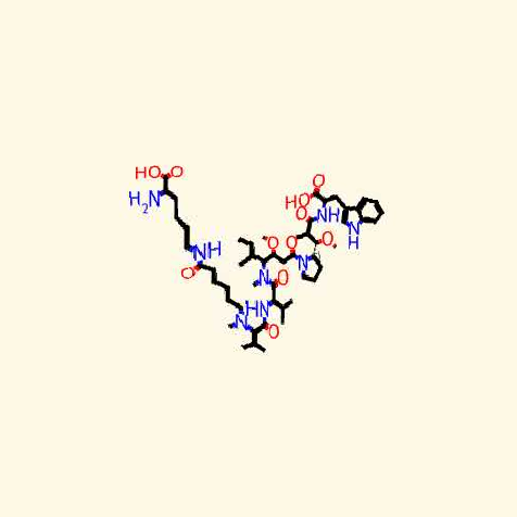 CCC(C)C(C(CC(=O)N1CCC[C@H]1C(OC)C(C)C(=O)NC(Cc1c[nH]c2ccccc12)C(=O)O)OC)N(C)C(=O)C(NC(=O)C(C(C)C)N(C)CCCCCC(=O)NCCCCC(N)C(=O)O)C(C)C